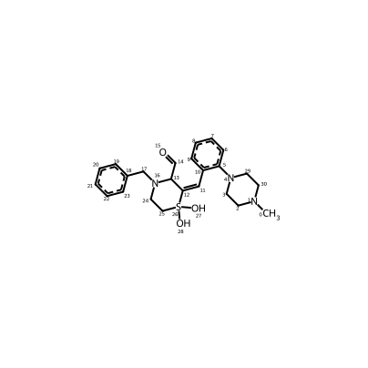 CN1CCN(c2ccccc2C=C2C(C=O)N(Cc3ccccc3)CCS2(O)O)CC1